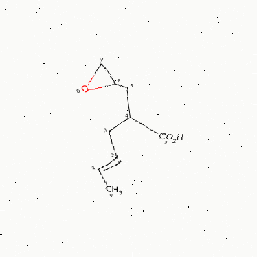 CC=CCC(CC1CO1)C(=O)O